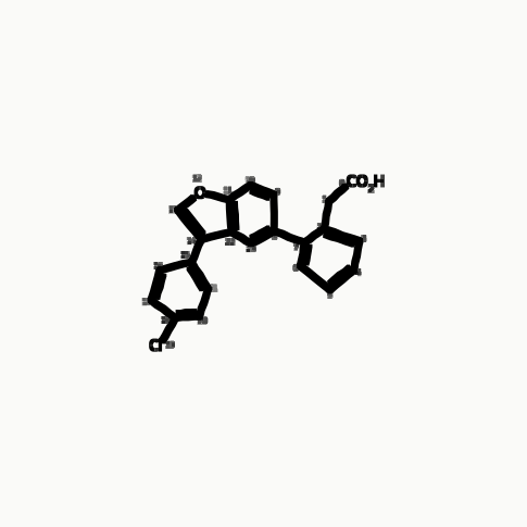 O=C(O)Cc1ccccc1-c1ccc2occ(-c3ccc(Cl)cc3)c2c1